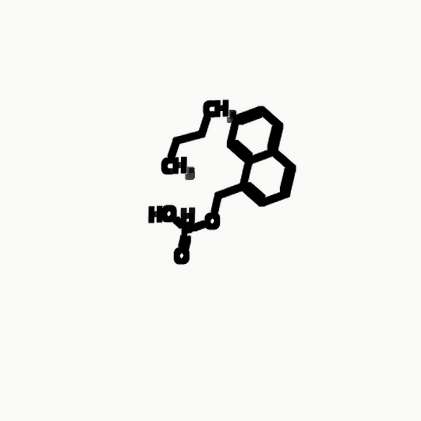 CCCC.O=[PH](O)OCc1cccc2ccccc12